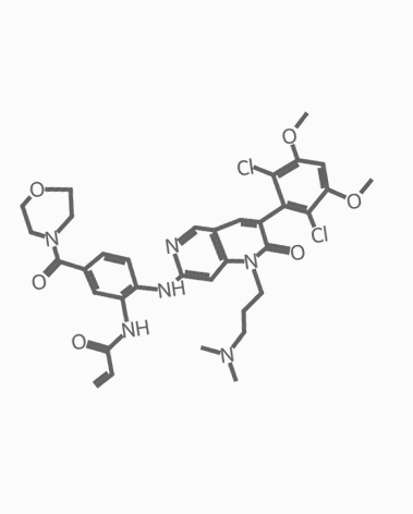 C=CC(=O)Nc1cc(C(=O)N2CCOCC2)ccc1Nc1cc2c(cn1)cc(-c1c(Cl)c(OC)cc(OC)c1Cl)c(=O)n2CCCN(C)C